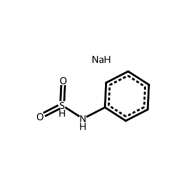 O=[SH](=O)Nc1ccccc1.[NaH]